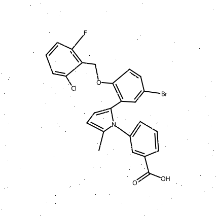 Cc1ccc(-c2cc(Br)ccc2OCc2c(F)cccc2Cl)n1-c1cccc(C(=O)O)c1